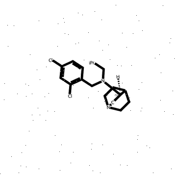 CC(C)CN(Cc1ccc(Cl)cc1Cl)[C@@H]1CN2CCC1CC2